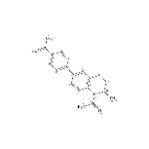 CC(=O)c1ccc(-c2ccc3c(c2)CCC(C)N3C(C)=O)cc1